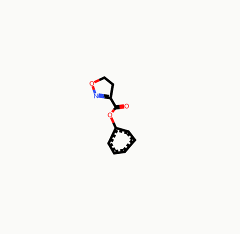 O=C(Oc1ccccc1)C1=NOCC1